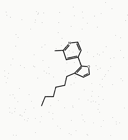 CCCCCCc1ccoc1-c1ccnc(C)c1